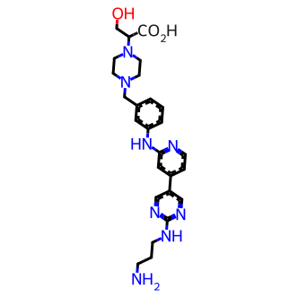 NCCCNc1ncc(-c2ccnc(Nc3cccc(CN4CCN(C(CO)C(=O)O)CC4)c3)c2)cn1